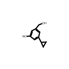 N#Cc1cc([CH]O)cc(C2CC2)c1